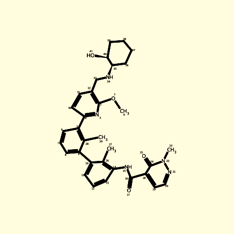 COc1nc(-c2cccc(-c3cccc(NC(=O)c4ccnn(C)c4=O)c3C)c2C)ccc1CN[C@@H]1CCCC[C@@H]1O